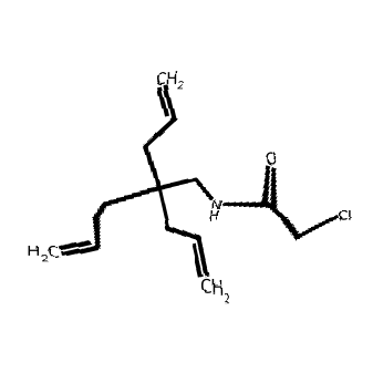 C=CCC(CC=C)(CC=C)CNC(=O)CCl